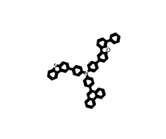 c1ccc(-c2cccc3c2oc2ccc(-c4ccc(N(c5ccc(-c6ccc7sc8ccccc8c7c6)cc5)c5ccc(-c6cc7ccccc7c7ccccc67)cc5)cc4)cc23)cc1